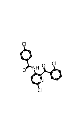 O=C(Nc1ccc(Cl)nc1C(=O)c1ccccc1Cl)c1ccc(Cl)cc1